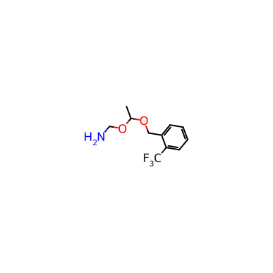 CC(OCN)OCc1ccccc1C(F)(F)F